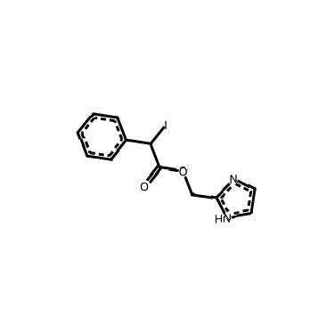 O=C(OCc1ncc[nH]1)C(I)c1ccccc1